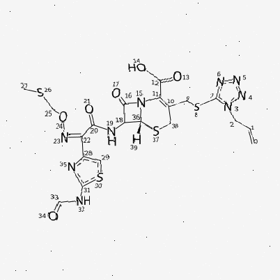 C=CCn1nnnc1SCC1=C(C(=O)O)N2C(=O)C(NC(=O)/C(=N\OCSC)c3csc(NC=O)n3)[C@H]2SC1